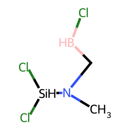 CN(CBCl)[SiH](Cl)Cl